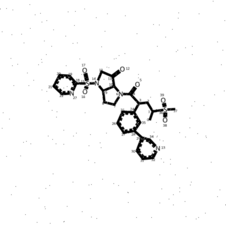 CC(CC(C(=O)N1CCC2C1C(=O)CN2S(=O)(=O)c1ccccn1)c1cccc(-c2cccnc2)c1)S(C)(=O)=O